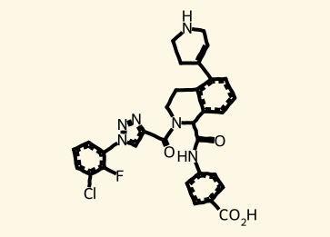 O=C(O)c1ccc(NC(=O)C2c3cccc(C4=CCNCC4)c3CCN2C(=O)c2cn(-c3cccc(Cl)c3F)nn2)cc1